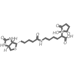 O=C(CCCC[C@@H]1SC[C@@H]2NC(=O)N[C@@H]21)NCCCCC(C(=O)O)[N+]1(O)C(=O)CCC1=O